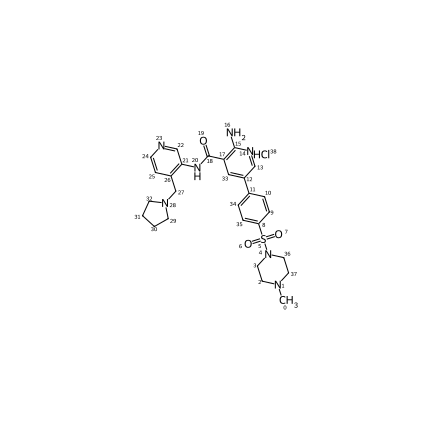 CN1CCN(S(=O)(=O)c2ccc(-c3cnc(N)c(C(=O)Nc4cnccc4CN4CCCC4)c3)cc2)CC1.Cl